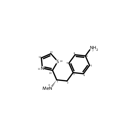 CN[C@@H](Cc1ccc(N)cc1)c1nccs1